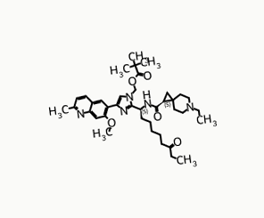 CCC(=O)CCCCC[C@H](NC(=O)[C@H]1CC12CCN(CC)CC2)c1nc(-c2cc3ccc(C)nc3cc2OC)cn1COC(=O)C(C)(C)C